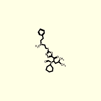 CC(C)CC(C(=O)c1nnc(SCCN(C)CCc2ccccc2)o1)N(C=O)C1CCCCC1